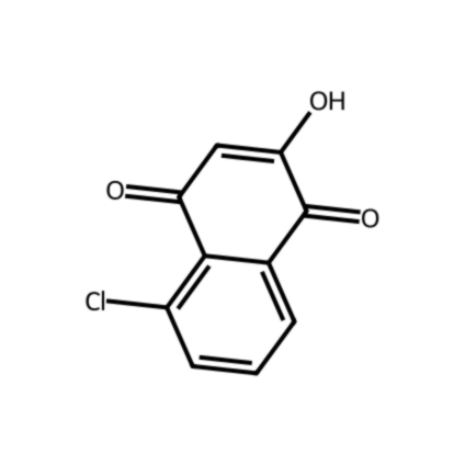 O=C1C(O)=CC(=O)c2c(Cl)cccc21